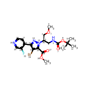 COC[C@@H](CNC(=O)OC(C)(C)C)n1nc(-c2ccncc2F)c(Br)c1C(=O)OC